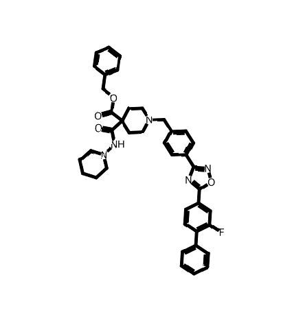 O=C(NN1CCCCC1)C1(C(=O)OCc2ccccc2)CCN(Cc2ccc(-c3noc(-c4ccc(-c5ccccc5)c(F)c4)n3)cc2)CC1